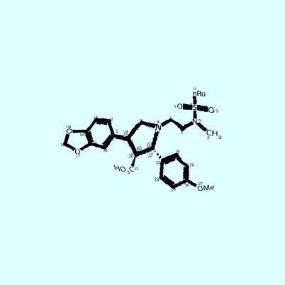 CCCCS(=O)(=O)N(C)CCN1CC(c2ccc3c(c2)OCO3)[C@H](C(=O)O)[C@H]1c1ccc(OC)cc1